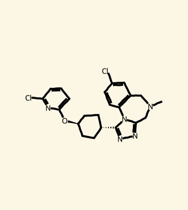 CN1Cc2cc(Cl)ccc2-n2c(nnc2[C@H]2CC[C@H](Oc3cccc(Cl)n3)CC2)C1